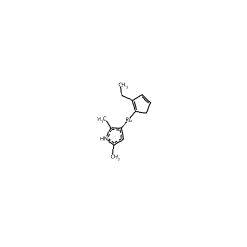 CCC1=[C]([Ru][c]2cc(C)[nH]c2C)CC=C1